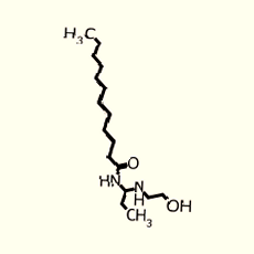 CCCCCCCCCCCC(=O)NC(CC)NCCO